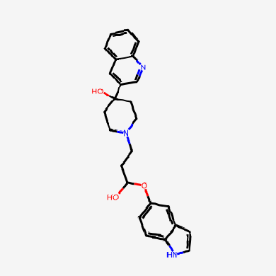 OC(CCN1CCC(O)(c2cnc3ccccc3c2)CC1)Oc1ccc2[nH]ccc2c1